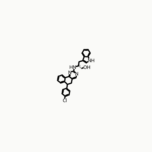 OC[C@@H](Cc1c[nH]c2ccccc12)Nc1ncc2c(n1)-c1ccccc1C(c1ccc(Cl)cc1)C2